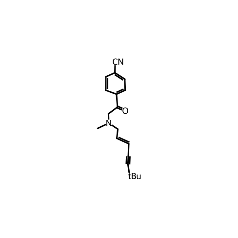 CN(CC=CC#CC(C)(C)C)CC(=O)c1ccc(C#N)cc1